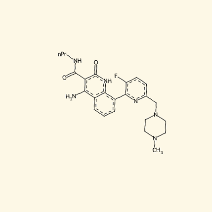 CCCNC(=O)c1c(N)c2cccc(-c3nc(CN4CCN(C)CC4)ccc3F)c2[nH]c1=O